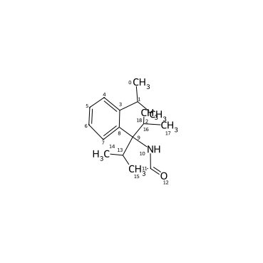 CC(C)c1ccccc1C(N[C]=O)(C(C)C)C(C)C